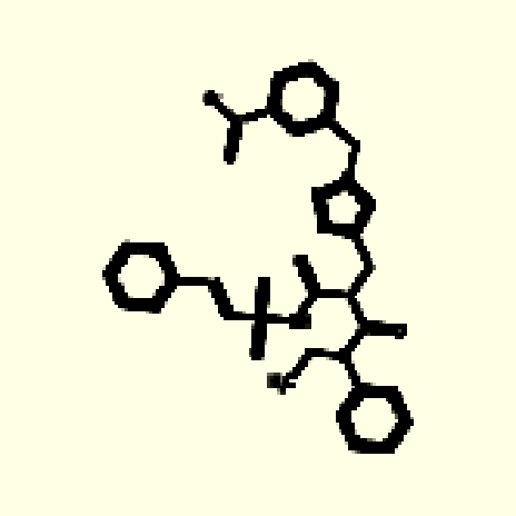 CCN(C(=O)C(Cc1cnn(Cc2cccc([N+](=O)[O-])c2)c1)C(=O)NS(=O)(=O)C=Cc1ccccc1)c1ccccc1